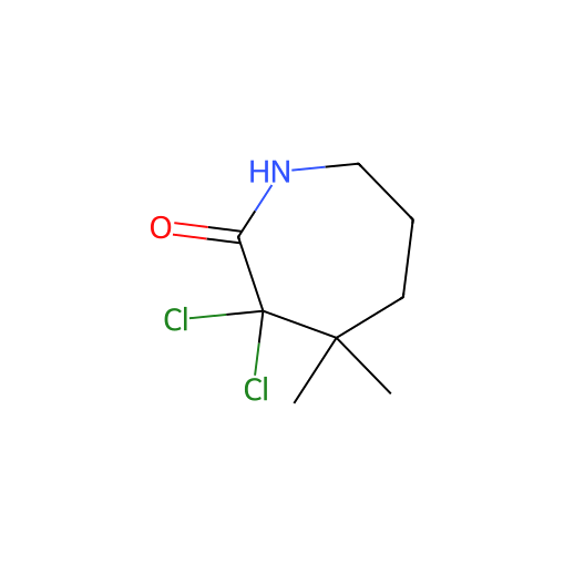 CC1(C)CCCNC(=O)C1(Cl)Cl